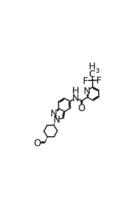 CC(F)(F)c1cccc(C(=O)Nc2ccc3nn([C@H]4CC[C@H](C=O)CC4)cc3c2)n1